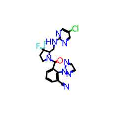 N#Cc1cccc(C(=O)N2CCC(F)(F)C2CNc2ncc(Cl)cn2)c1-n1nccn1